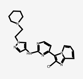 Clc1nc2ccccn2c1-c1ccnc(Nc2cnn(CCN3CCCCC3)c2)n1